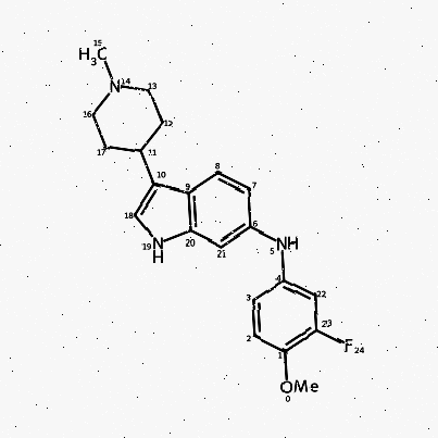 COc1ccc(Nc2ccc3c(C4CCN(C)CC4)c[nH]c3c2)cc1F